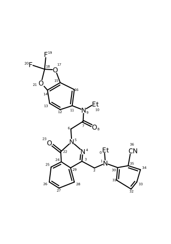 CCN(Cc1nn(CC(=O)N(CC)c2ccc3c(c2)OC(F)(F)O3)c(=O)c2ccccc12)c1ccccc1C#N